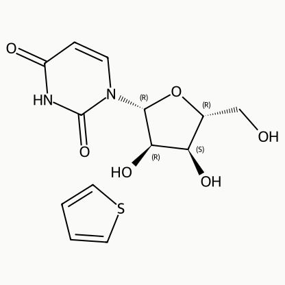 O=c1ccn([C@@H]2O[C@H](CO)[C@@H](O)[C@H]2O)c(=O)[nH]1.c1ccsc1